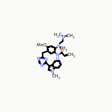 C=CC(=O)Nc1cc(Cc2ncnc(-c3cn(C)c4ccccc34)n2)c(OC)cc1N(C)CCN(C)C